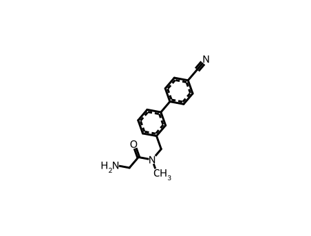 CN(Cc1cccc(-c2ccc(C#N)cc2)c1)C(=O)CN